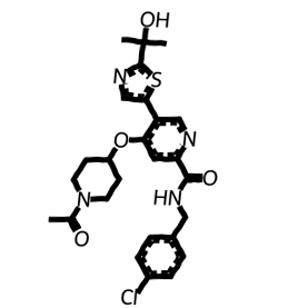 CC(=O)N1CCC(Oc2cc(C(=O)NCc3ccc(Cl)cc3)ncc2-c2cnc(C(C)(C)O)s2)CC1